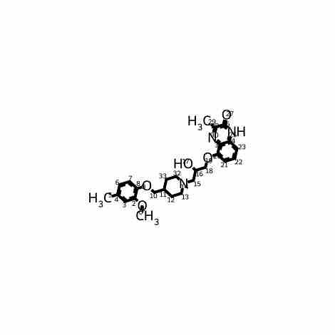 COc1cc(C)ccc1OCC1CCN(CC(O)COc2cccc3[nH]c(=O)c(C)nc23)CC1